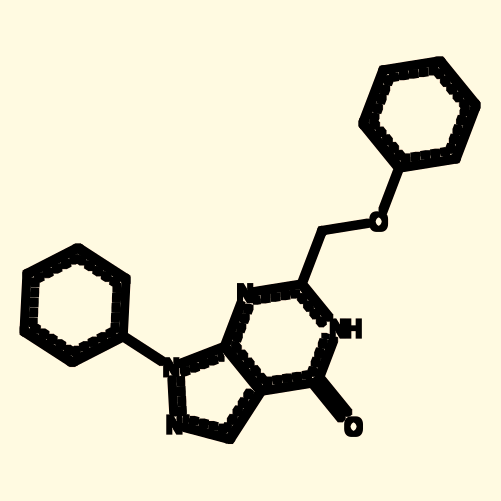 O=c1[nH]c(COc2ccccc2)nc2c1cnn2-c1ccccc1